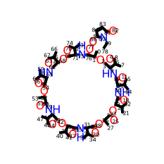 CC1OC(=O)C(C(C)C)NC(=O)C(C(C)C)NC(=O)C(C(C)C)OC(=O)C(C)OC(=O)C(C(C)C)NC(=O)C(C(C)C)OC(=O)C(C(C)C)NC(=O)C(C)OC(=O)C(C(C)C)NC(=O)C(C(C)C)OC(=O)C(C(C)C)NC1=O.CCN1C(=O)C=CC1=O